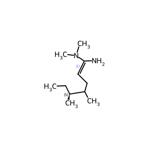 CC[C@H](C)C(C)C/C=C(\N)N(C)C